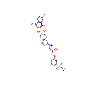 CCn1cc(S(=O)(=O)N2CCC3(CC2)C[C@@H](NCC(O)COc2cccc(S(=O)(=O)C4CC4)c2)CO3)c(=O)c2cc(C)ccc21